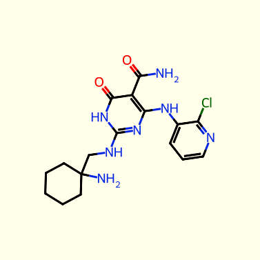 NC(=O)c1c(Nc2cccnc2Cl)nc(NCC2(N)CCCCC2)[nH]c1=O